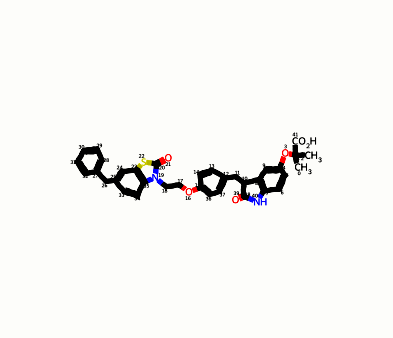 CC(C)(Oc1ccc2c(c1)C(Cc1ccc(OCCn3c(=O)sc4cc(Cc5ccccc5)ccc43)cc1)C(=O)N2)C(=O)O